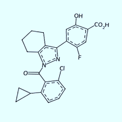 O=C(O)c1cc(F)c(-c2nn(C(=O)c3c(Cl)cccc3C3CC3)c3c2CCCC3)cc1O